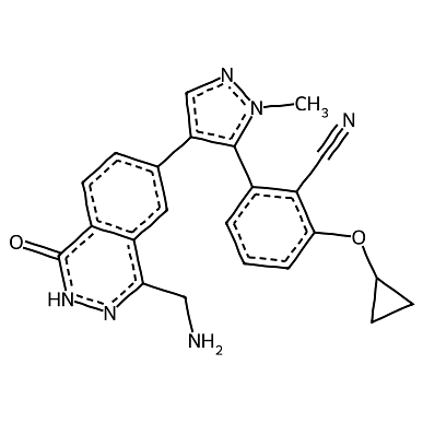 Cn1ncc(-c2ccc3c(=O)[nH]nc(CN)c3c2)c1-c1cccc(OC2CC2)c1C#N